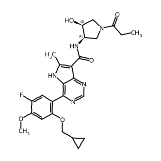 CCC(=O)N1C[C@H](O)[C@H](NC(=O)c2c(C)[nH]c3c(-c4cc(F)c(OC)cc4OCC4CC4)ncnc23)C1